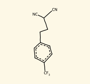 N#CC(C#N)CCc1ccc(C(F)(F)F)cc1